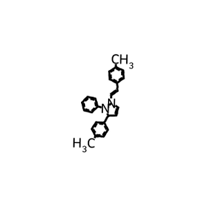 Cc1ccc(C=CN2C=CC(c3ccc(C)cc3)N2c2ccccc2)cc1